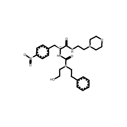 O=C(NCCN1CCOCC1)[C@H](Cc1ccc([N+](=O)[O-])cc1)NC(=O)N(CCO)CCc1ccccc1